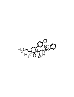 C=CC[C@@]1(C)CCC(c2ccc(Cl)cc2)N(C(CN[S+]([O-])Cc2ccccc2)C2CC2)C1=O